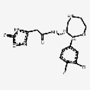 O=C(Cc1noc(=O)[nH]1)NC[C@@H]1CNCCO[C@H]1c1ccc(Cl)c(Cl)c1